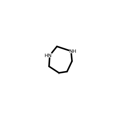 [CH]1CCNCNC1